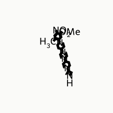 COc1cc(N2CCC(N3CCN(C4CCN(C5CNC5)CC4)CC3)CC2)c(C)cc1[N+](=O)[O-]